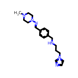 CN1CCN(N=Cc2ccc(CNCCCn3ccnc3)cc2)CC1